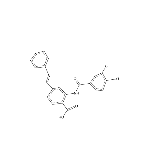 O=C(Nc1cc(C=Cc2ccccc2)ccc1C(=O)O)c1ccc(Cl)c(Cl)c1